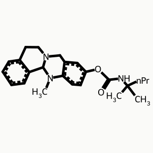 CCCC(C)(C)NC(=O)Oc1ccc2c(c1)CN1CCc3ccccc3C1N2C